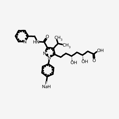 CC(C)c1c(C(=O)NCc2ccccn2)nn(-c2ccc(F)cc2)c1CC[C@@H](O)C[C@@H](O)CC(=O)O.[NaH]